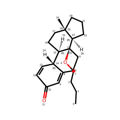 CCCCO[C@@]12CCC3=CC(=O)C=C[C@@H]3[C@H]1CC[C@]1(C)CCC[C@H]12